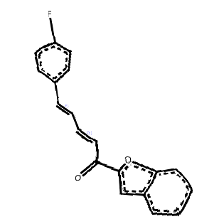 O=C(/C=C/C=C/c1ccc(F)cc1)c1cc2ccccc2o1